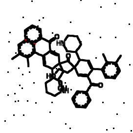 Cc1cccc(C2=CC(C3CCCNC3)C(CCO)(C(=O)C3(CCO)C=C(C(=O)c4ccccc4)C(c4cccc(C)c4C)=CC3C3CCCNC3)C=C2C(=O)c2ccccc2)c1C